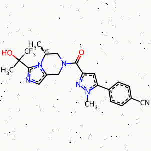 C[C@H]1CN(C(=O)c2cc(-c3ccc(C#N)cc3)n(C)n2)Cc2cnc(C(C)(O)C(F)(F)F)n21